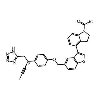 CC#C[C@@H](Cc1nnn[nH]1)c1ccc(OCc2ccc3scc(-c4cccc5c4CCN5C(=O)CC)c3c2)cc1